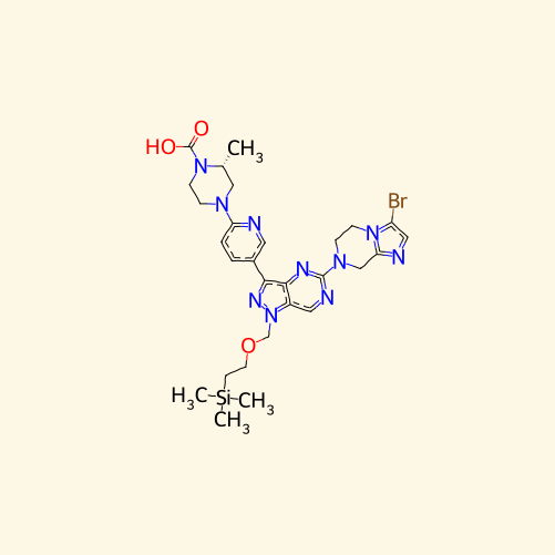 C[C@@H]1CN(c2ccc(-c3nn(COCC[Si](C)(C)C)c4cnc(N5CCn6c(Br)cnc6C5)nc34)cn2)CCN1C(=O)O